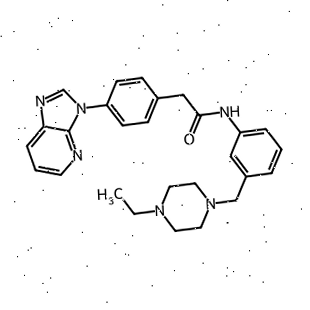 CCN1CCN(Cc2cccc(NC(=O)Cc3ccc(-n4cnc5cccnc54)cc3)c2)CC1